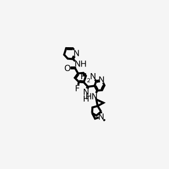 CN1CC2CC1C1(C2)C[C@H]1Nc1ccnc(N)c1C(=N)c1ccc(C(=O)NC2=NC=CCC2)cc1F